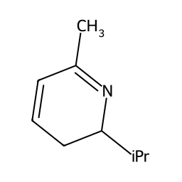 CC1=NC(C(C)C)CC=C1